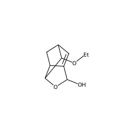 CCOC1C2C=C3C(O)OC1C3C2